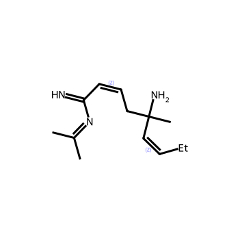 CC/C=C\C(C)(N)C/C=C\C(=N)N=C(C)C